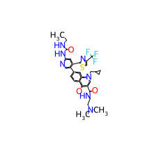 CCNC(=O)Nc1cc(-c2nc(C(F)(F)F)cs2)c(-c2ccc3c(=O)c(C(=O)NCCN(C)C)cn(CC4CC4)c3c2)cn1